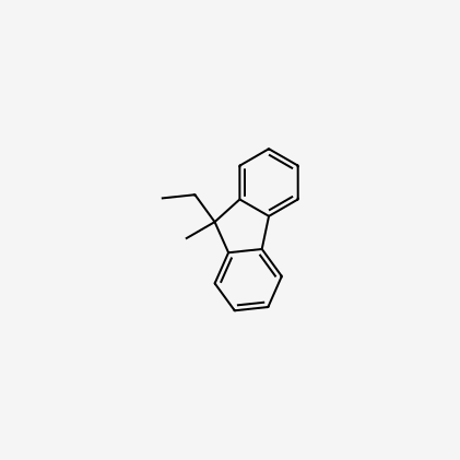 CCC1(C)c2ccccc2-c2ccccc21